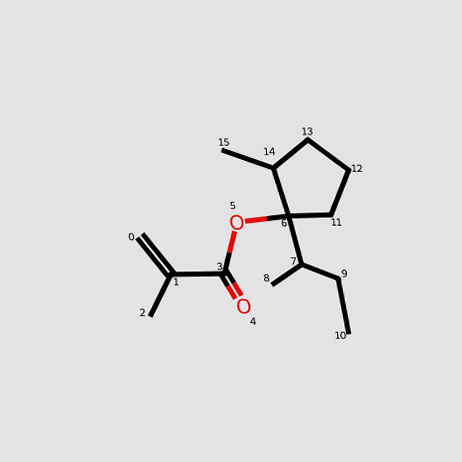 C=C(C)C(=O)OC1(C(C)CC)CCCC1C